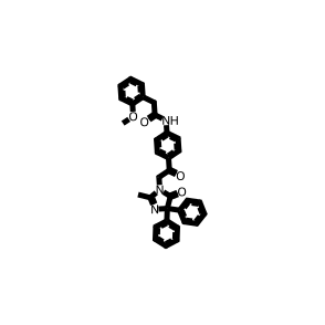 COc1ccccc1CC(=O)Nc1ccc(C(=O)CN2C(=O)C(c3ccccc3)(c3ccccc3)N=C2C)cc1